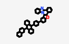 c1ccc2cc(-c3c4ccccc4c(-c4ccc(-c5ccc6oc7c8ccccc8c8nc9ccccc9n8c7c6c5)cc4)c4ccccc34)ccc2c1